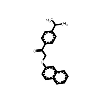 CC(C)c1ccc(C(=O)COc2ccc3ccccc3c2)cc1